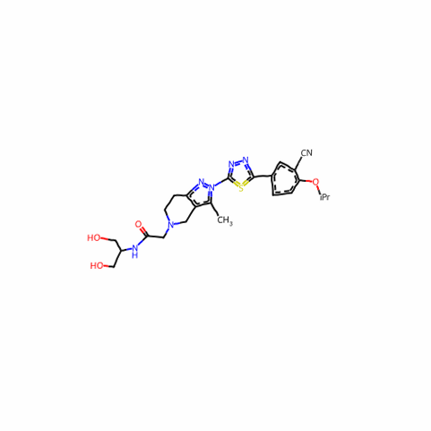 Cc1c2c(nn1-c1nnc(-c3ccc(OC(C)C)c(C#N)c3)s1)CCN(CC(=O)NC(CO)CO)C2